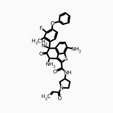 C=CC(=O)N1CCC(NC(=O)c2sc3c(N)ccc4c3c2C(N)C(=O)C4(N)c2ccc(Oc3ccccc3)c(F)c2C)C1